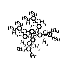 CC(C)Cc1cc(C(C)(C)C)cc(C(C)(C)c2ccc3c(c2)N(c2cccc(C(C)(C)c4cc(C(C)(C)C)cc(C(C)(C)C)c4)c2)c2cccc4c2B3c2ccc(C(C)(C)c3cc(C(C)(C)C)cc(C(C)(C)C)c3)cc2N4c2cccc(C(C)(C)c3cc(C(C)(C)C)cc(C(C)(C)C)c3)c2)c1